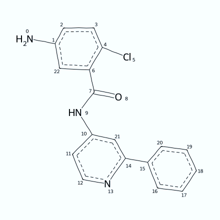 Nc1ccc(Cl)c(C(=O)Nc2ccnc(-c3ccccc3)c2)c1